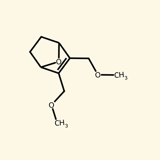 COCC1=C(COC)C2CCC1O2